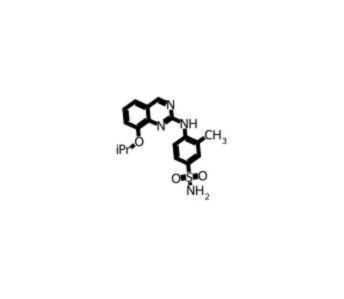 Cc1cc(S(N)(=O)=O)ccc1Nc1ncc2cccc(OC(C)C)c2n1